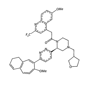 COC1=C=CC2=C(C=C1c1ccc([C@@H]3CN(CC4CCOC4)CCN3C(=O)Cc3cc(C(F)(F)F)nc4ccc(OC)cc34)nn1)CCC=C2